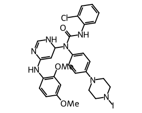 COc1ccc(NC2=CC(N(C(=O)Nc3ccccc3Cl)c3ccc(N4CCN(I)CC4)cc3)NC=N2)c(OC)c1